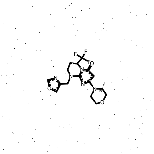 C[C@@H]1COCCN1c1cc(=O)n2c(n1)N(Cc1cocn1)CCC2C(F)(F)F